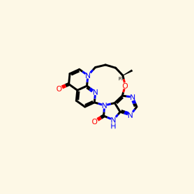 C[C@@H]1CCCn2ccc(=O)c3ccc(nc32)-n2c(=O)[nH]c3ncnc(c32)O1